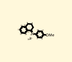 COc1ccc(/N=C2\CCCc3ccccc32)cc1.[Ir]